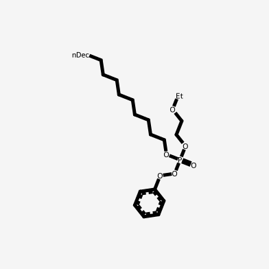 CCCCCCCCCCCCCCCCCCCOP(=O)(OCCOCC)OOc1ccccc1